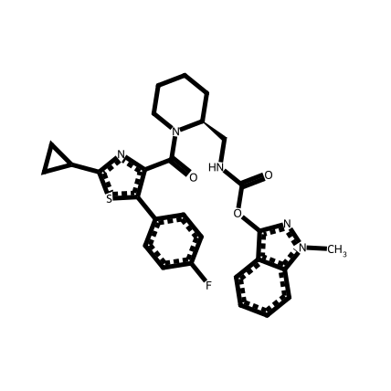 Cn1nc(OC(=O)NC[C@@H]2CCCCN2C(=O)c2nc(C3CC3)sc2-c2ccc(F)cc2)c2ccccc21